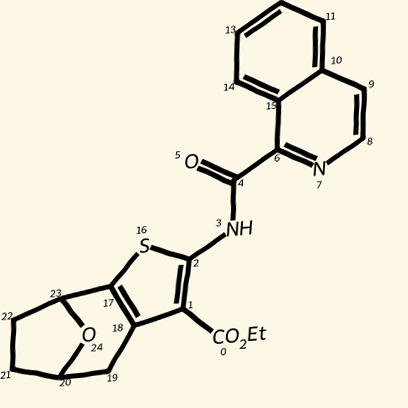 CCOC(=O)c1c(NC(=O)c2nccc3ccccc23)sc2c1CC1CCC2O1